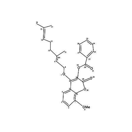 COc1cccc2c(OC/C=C(\C)CCC=C(C)C)c(OC(=O)c3ccccc3)c(=O)oc12